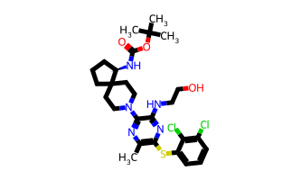 Cc1nc(N2CCC3(CCC[C@H]3NC(=O)OC(C)(C)C)CC2)c(NCCO)nc1Sc1cccc(Cl)c1Cl